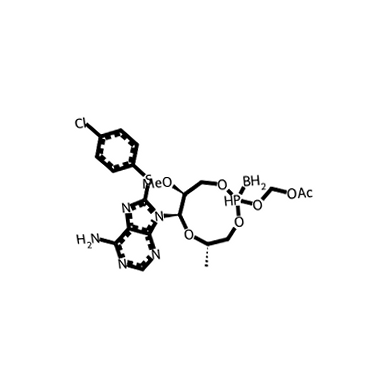 B[PH]1(OCOC(C)=O)OC[C@H](OC)[C@H](n2c(Sc3ccc(Cl)cc3)nc3c(N)ncnc32)O[C@@H](C)CO1